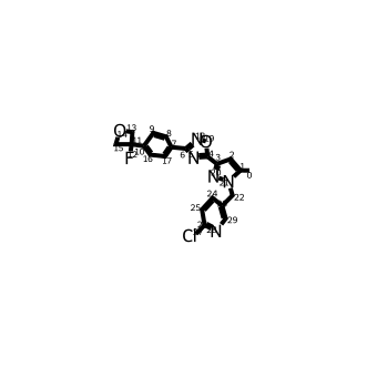 Cc1cc(-c2nc(-c3ccc(C4(F)COC4)cc3)no2)nn1Cc1ccc(Cl)nc1